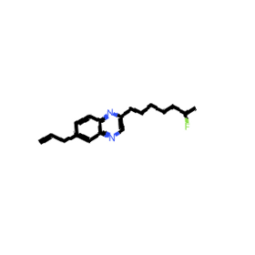 C=CCc1ccc2nc(CCCCCC(C)F)cnc2c1